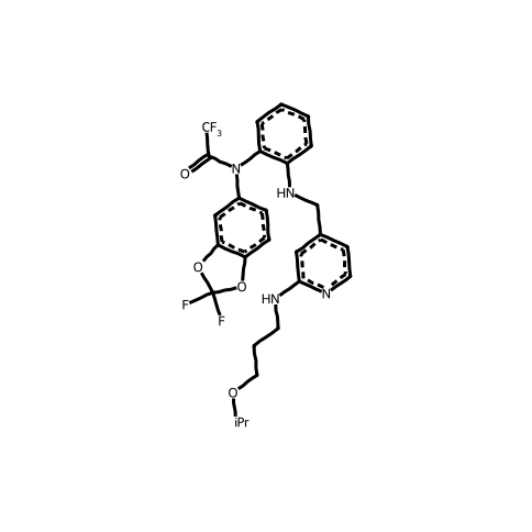 CC(C)OCCCNc1cc(CNc2ccccc2N(C(=O)C(F)(F)F)c2ccc3c(c2)OC(F)(F)O3)ccn1